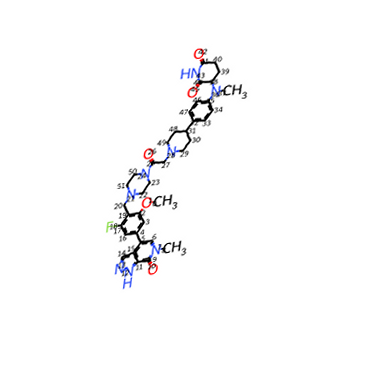 COc1cc(-c2cn(C)c(=O)c3[nH]ncc23)cc(F)c1CN1CCN(C(=O)CN2CCC(c3ccc(N(C)C4CCC(=O)NC4=O)cc3)CC2)CC1